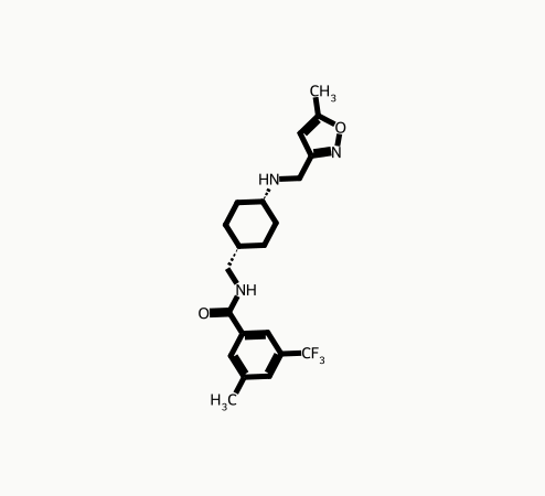 Cc1cc(C(=O)NC[C@H]2CC[C@@H](NCc3cc(C)on3)CC2)cc(C(F)(F)F)c1